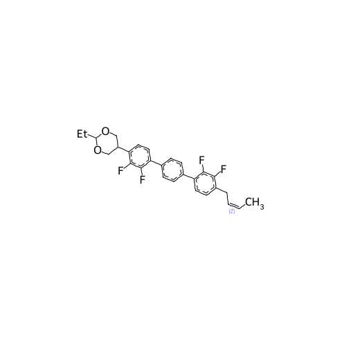 C/C=C\Cc1ccc(-c2ccc(-c3ccc(C4COC(CC)OC4)c(F)c3F)cc2)c(F)c1F